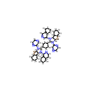 c1ccc2c(N3B(c4ccc(B5N(c6cnccn6)c6sc7ccccc7c6N5c5nccc6ccccc56)cc4)N(c4cnccn4)c4sc5ccccc5c43)cncc2c1